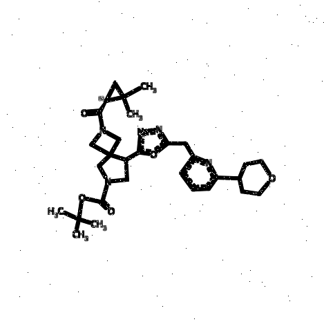 CC(C)(C)OC(=O)N1CC(c2nnc(Cc3cccc(C4CCOCC4)n3)o2)C2(C1)CN(C(=O)[C@H]1CC1(C)C)C2